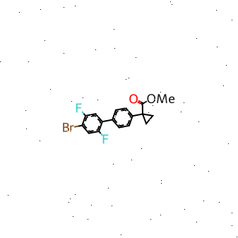 COC(=O)C1(c2ccc(-c3cc(F)c(Br)cc3F)cc2)CC1